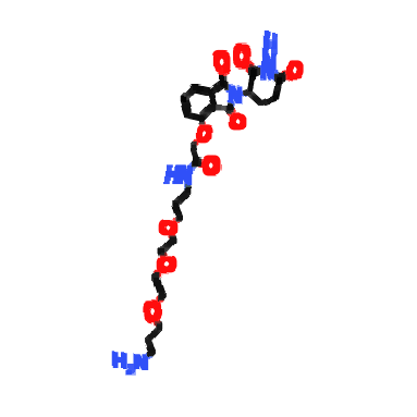 NCCCOCCOCCOCCCNC(=O)COc1cccc2c1C(=O)N(C1CCC(=O)NC1=O)C2=O